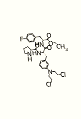 CCOC(=O)[C@H](Cc1ccc(F)cc1)NC(=O)[C@H](Cc1cccc(N(CCCl)CCCl)c1)NC(=O)[C@@H]1CCCN1